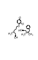 C#CCN(C)C(C)Cc1ccccc1.C#CCN(C)CCCOc1ccc(Cl)cc1Cl